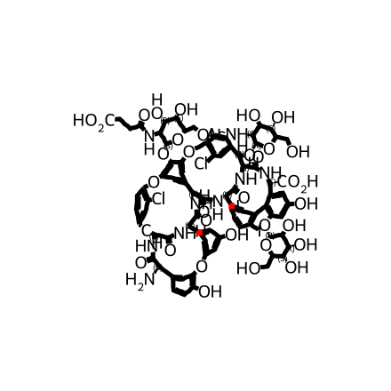 CC(=O)N[C@H]1C(O)[C@H](O)C(CO)O[C@H]1O[C@@H]1c2ccc(c(Cl)c2)Oc2cc3cc(c2O[C@@H]2OC(CO)[C@@H](O)[C@H](O)C2NC(=O)CCC(=O)O)Oc2ccc(cc2Cl)C[C@H]2NC(=O)[C@H](N)c4ccc(O)c(c4)Oc4cc(O)cc(c4)[C@H](NC2=O)C(=O)N[C@H]3C(=O)N[C@H]2C(=O)N[C@@H]1C(=O)N[C@H](C(=O)O)c1cc(O)cc(O[C@H]3OC(CO)[C@@H](O)[C@@H](O)C3O)c1-c1cc2ccc1I